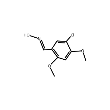 COc1cc(OC)c(C=NO)cc1Cl